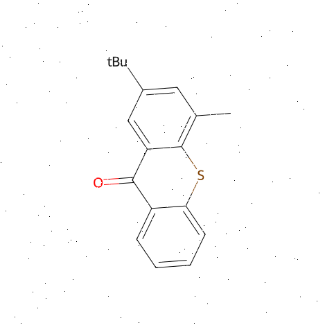 Cc1cc(C(C)(C)C)cc2c(=O)c3ccccc3sc12